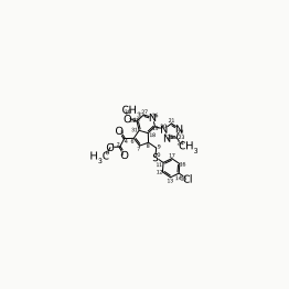 COC(=O)C(=O)C1=CC(CSc2ccc(Cl)cc2)c2c(-n3cnc(C)n3)ncc(OC)c21